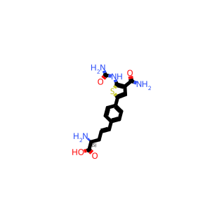 NC(=O)Nc1sc(-c2ccc(C=CC[C@H](N)C(=O)O)cc2)cc1C(N)=O